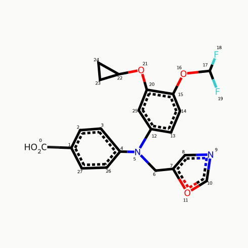 O=C(O)c1ccc(N(Cc2cnco2)c2ccc(OC(F)F)c(OC3CC3)c2)cc1